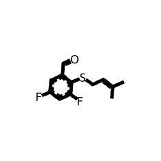 CC(C)=CCSc1c(F)cc(F)cc1C=O